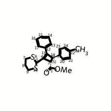 COC(=O)[C@@H]1C(C2SCCCS2)=C(c2ccccc2)[C@H]1c1ccc(C)cc1